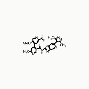 COc1cnc(C(F)F)cc1-c1cc(C)ncc1C(=O)Nc1nc2cnc(-c3c(C)nnn3C)cc2s1